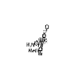 COc1cc(C(F)(F)C(NS(=O)(=O)c2ccc(OCC3CCCCC3)cc2)C(=O)N2CCC(N)CC2)ccc1Br